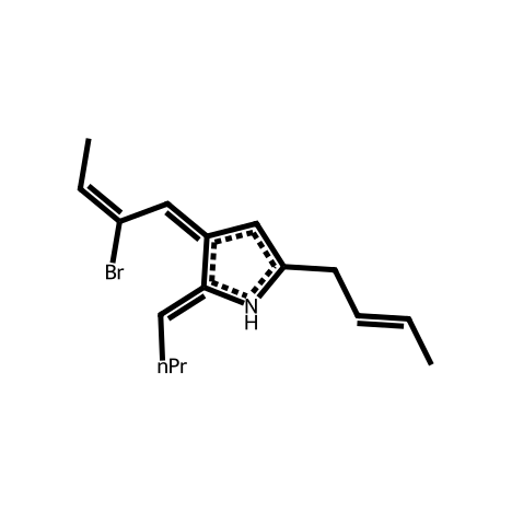 C/C=C/Cc1cc(=C/C(Br)=C\C)/c(=C/CCC)[nH]1